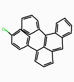 Clc1ccc(-c2cccc3cc4ccccc4c(-c4ccccc4)c23)cc1